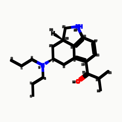 CCCN(CCC)[C@H]1Cc2c(C(=O)C(C)C)ccc3c2[C@H](CN3)C1